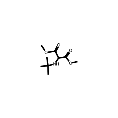 COC(=O)C(NC(C)(C)C)C(=O)OC